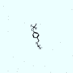 [N-]=[N+]=NCc1ccc(OC(F)(F)F)cc1